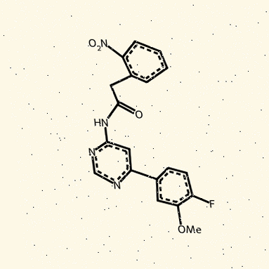 COc1cc(-c2cc(NC(=O)Cc3ccccc3[N+](=O)[O-])ncn2)ccc1F